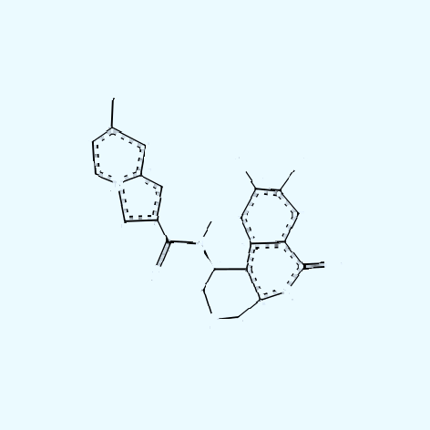 Cc1ccn2cc(C(=O)N(C)[C@@H]3COCc4[nH]c(=O)c5cc(F)c(F)cc5c43)cc2c1